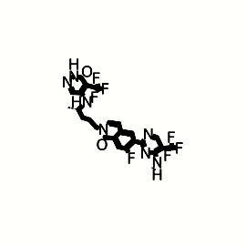 CNc1nc(-c2cc3ccn(CCC[C@H](C)Nc4cn[nH]c(=O)c4C(F)(F)F)c(=O)c3cc2F)ncc1C(F)(F)F